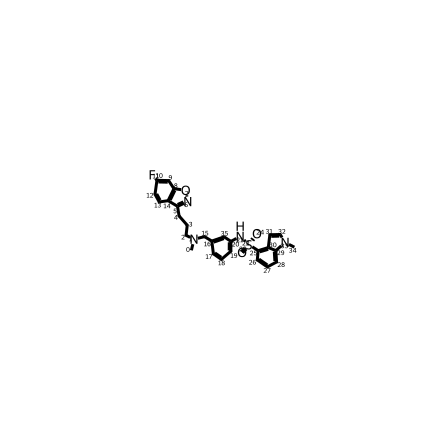 CN(CCCc1noc2cc(F)ccc12)Cc1cccc(NS(=O)(=O)c2cccc3c2ccn3C)c1